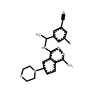 Cc1nnc(NC(C)c2cc(F)cc(C#N)c2)c2cc(N3CCOCC3)ccc12